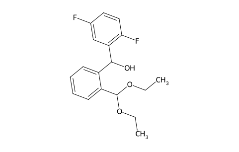 CCOC(OCC)c1ccccc1C(O)c1cc(F)ccc1F